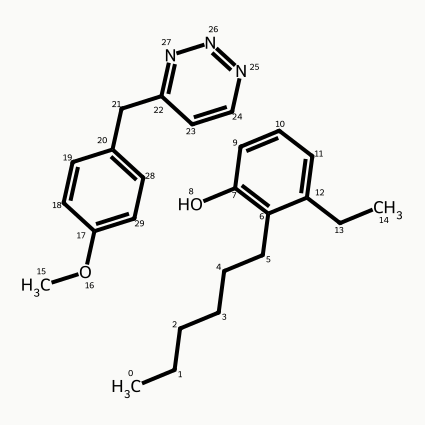 CCCCCCc1c(O)cccc1CC.COc1ccc(Cc2ccnnn2)cc1